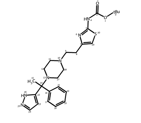 CC(C)(C)OC(=O)Nc1nc(CCN2CCN(C(C)(c3ccccc3)c3ccn[nH]3)CC2)cs1